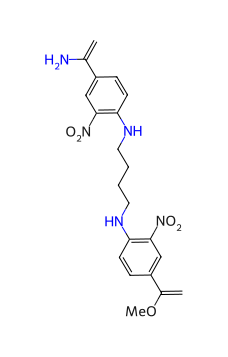 C=C(N)c1ccc(NCCCCNc2ccc(C(=C)OC)cc2[N+](=O)[O-])c([N+](=O)[O-])c1